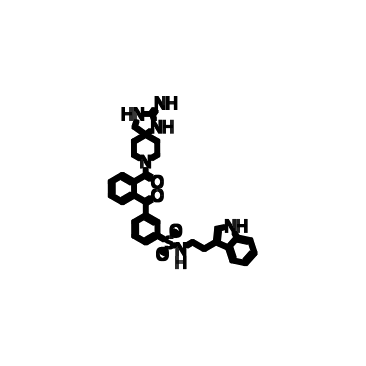 N=C1NCC2(CCN(C(=O)c3ccccc3C(=O)c3cccc(S(=O)(=O)NCCc4c[nH]c5ccccc45)c3)CC2)N1